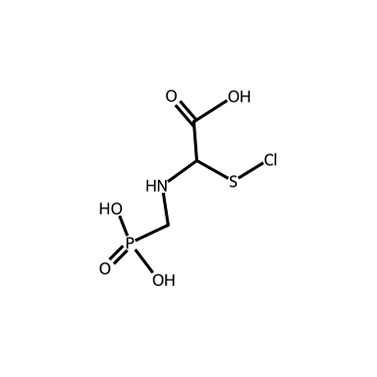 O=C(O)C(NCP(=O)(O)O)SCl